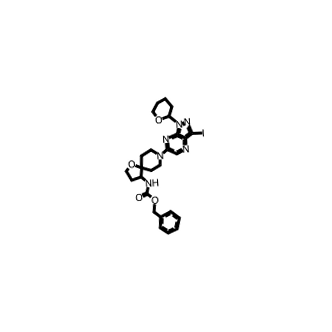 O=C(NC1CCOC12CCN(c1cnc3c(I)nn(C4CCCCO4)c3n1)CC2)OCc1ccccc1